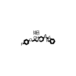 CN(c1nc2ccccc2s1)C1CCN(C[C@@H](O)COc2ccc(F)cc2)CC1.Cl.Cl